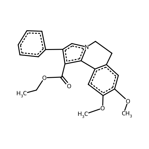 CCOC(=O)c1c(-c2ccccc2)cn2c1-c1cc(OC)c(OC)cc1CC2